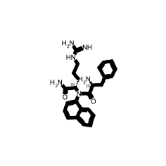 N=C(N)NCCC[C@@H](C(N)=O)N(C(=O)[C@@H](N)Cc1ccccc1)c1cccc2ccccc12